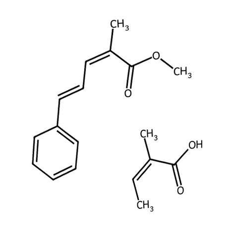 CC=C(C)C(=O)O.COC(=O)C(C)=CC=Cc1ccccc1